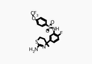 CC1(c2ccc(F)c(NS(=O)(=O)c3ccc(OC(F)(F)F)cc3)c2)CCSC(N)=N1